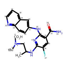 CC(CN(C(=O)O)C(C)(C)C)Nc1nc(Nc2ccc3ncccc3c2)c(C(N)=O)cc1F